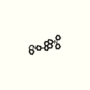 c1ccc(N(c2ccccc2)c2ccc3ccc4c(-c5ccc(N6CCCc7ccccc76)cc5)ccc5ccc2c3c54)cc1